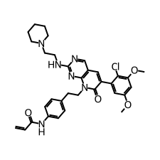 C=CC(=O)Nc1ccc(CCn2c(=O)c(-c3cc(OC)cc(OC)c3Cl)cc3cnc(NCCN4CCCCC4)nc32)cc1